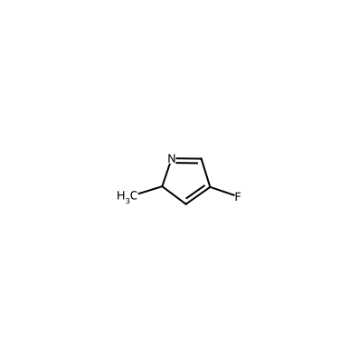 CC1C=C(F)C=N1